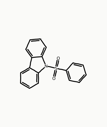 O=S(=O)(c1ccccc1)n1c2c[c]ccc2c2ccccc21